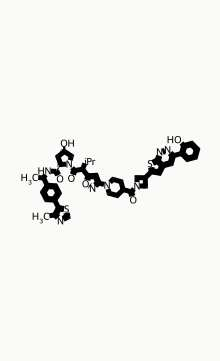 Cc1ncsc1-c1ccc(C(C)NC(=O)[C@@H]2C[C@@H](O)CN2C(=O)C(c2cc(N3CCC(C(=O)N4CC(c5cc6cc(-c7ccccc7O)nnc6s5)C4)CC3)no2)C(C)C)cc1